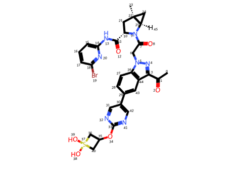 CC(=O)c1nn(CC(=O)N2[C@H](C(=O)Nc3cccc(Br)n3)C[C@@]3(C)C[C@@H]23)c2ccc(-c3cnc(OC4CS(O)(O)C4)nc3)cc12